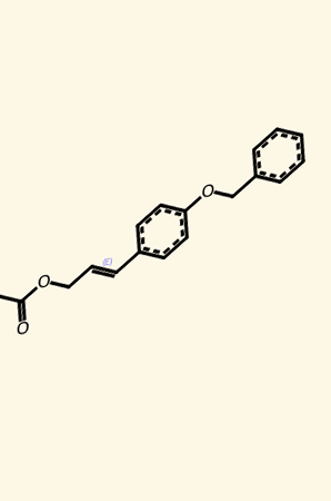 O=C(OC/C=C/c1ccc(OCc2ccccc2)cc1)C1CC1